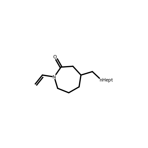 C=CN1CCCC(CCCCCCCC)CC1=O